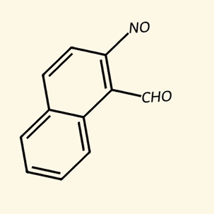 O=Cc1c(N=O)ccc2ccccc12